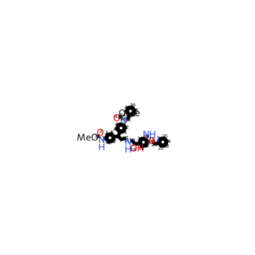 COC(=O)Nc1ccc(C(CCNCC(O)c2ccc(OCc3ccccc3)c(N)c2)c2ccc(N(Cc3ccccc3)C(=O)OC)cc2)cc1